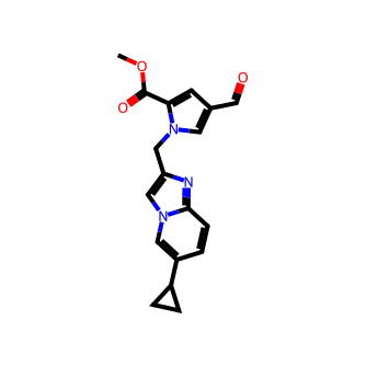 COC(=O)c1cc(C=O)cn1Cc1cn2cc(C3CC3)ccc2n1